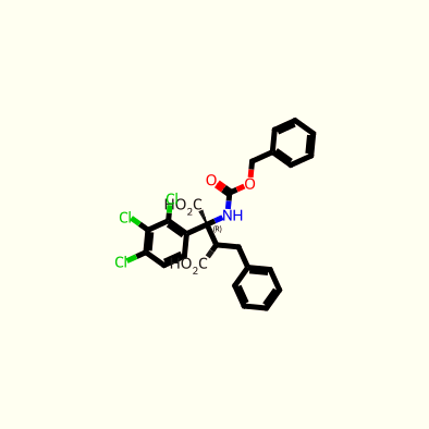 O=C(N[C@@](C(=O)O)(c1ccc(Cl)c(Cl)c1Cl)C(Cc1ccccc1)C(=O)O)OCc1ccccc1